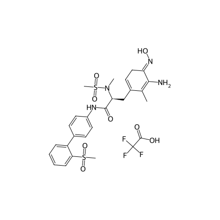 CC1=C(N)C(=NO)CC=C1C[C@@H](C(=O)Nc1ccc(-c2ccccc2S(C)(=O)=O)cc1)N(C)S(C)(=O)=O.O=C(O)C(F)(F)F